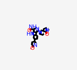 COc1ccc(-c2ccc3c(c2)[nH]c2c(C(N)=O)cnc(N4CCC[C@@]5(CCN(C)C5=O)C4)c23)cn1